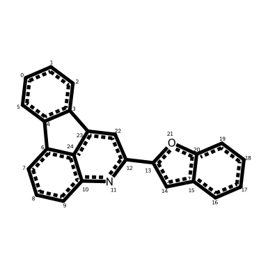 c1ccc2c(c1)-c1cccc3nc(-c4cc5ccccc5o4)cc-2c13